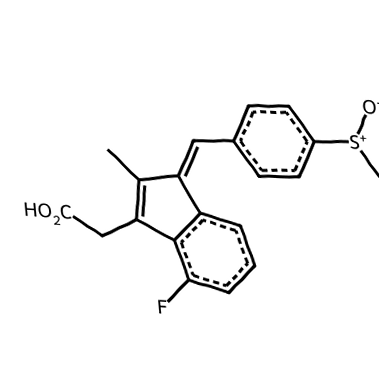 CC1=C(CC(=O)O)c2c(F)cccc2C1=Cc1ccc([S+](C)[O-])cc1